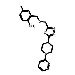 Nc1ccc(F)cc1COCc1nnc(C2CCN(c3ccccn3)CC2)o1